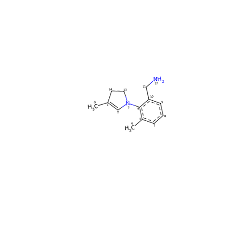 CC1=CN(c2c(C)cccc2CN)CC1